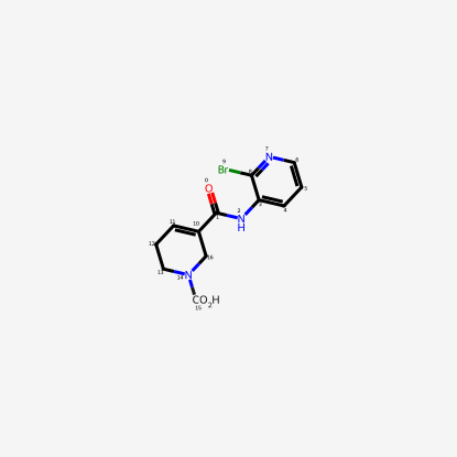 O=C(Nc1cccnc1Br)C1=CCCN(C(=O)O)C1